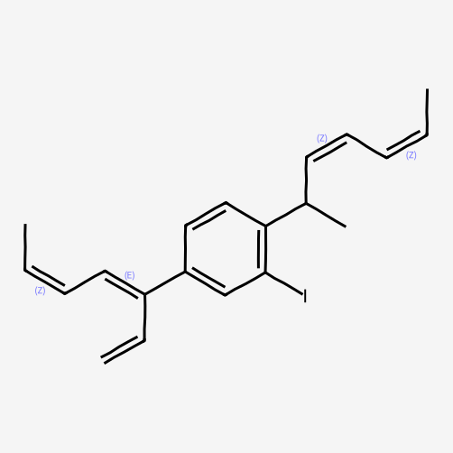 C=C/C(=C\C=C/C)c1ccc(C(C)/C=C\C=C/C)c(I)c1